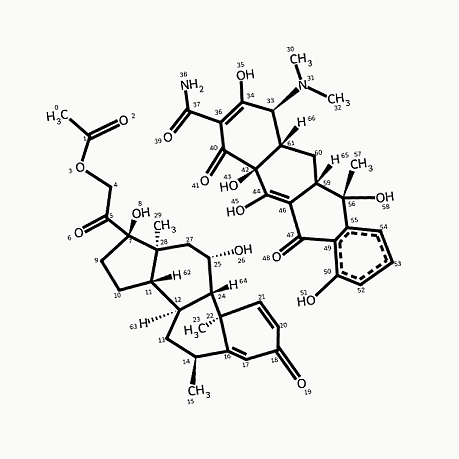 CC(=O)OCC(=O)[C@@]1(O)CC[C@H]2[C@@H]3C[C@H](C)C4=CC(=O)C=C[C@]4(C)[C@H]3[C@@H](O)C[C@@]21C.CN(C)[C@@H]1C(O)=C(C(N)=O)C(=O)[C@@]2(O)C(O)=C3C(=O)c4c(O)cccc4[C@@](C)(O)[C@H]3C[C@@H]12